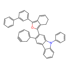 C1#CCC(c2cc3c4ccccc4n(-c4ccccc4)c3cc2-c2oc(-c3cccc(-c4ccccc4)c3)c3c2CCC=C3)=CC=C1